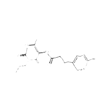 CCCn1c(=O)[nH]c(Cl)c(NC(=O)CCc2ccc(C)cc2)c1=O